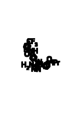 CC(C)C(=O)N1CCCC(n2nc(-c3ccc(C(=O)Nc4cc(C(F)(F)F)ccn4)cc3)c3c(N)ncnc32)C1